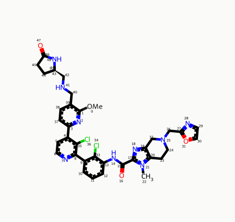 COc1nc(-c2ccnc(-c3cccc(NC(=O)c4nc5c(n4C)CCN(Cc4ncco4)C5)c3Cl)c2Cl)ccc1CNC[C@H]1CCC(=O)N1